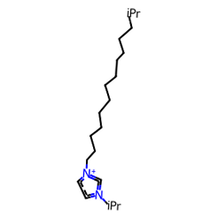 CC(C)CCCCCCCCCCCC[n+]1ccn(C(C)C)c1